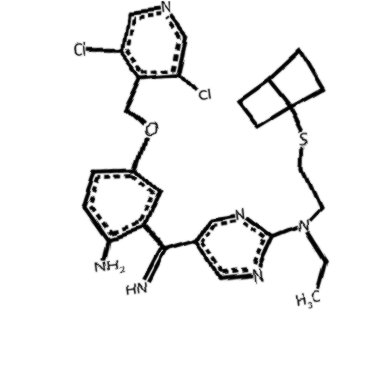 CCN(CCSC12CCC1CC2)c1ncc(C(=N)c2cc(OCc3c(Cl)cncc3Cl)ccc2N)cn1